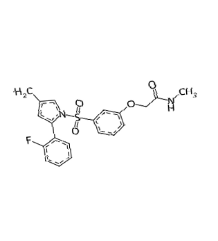 [CH2]c1cc(-c2ccccc2F)n(S(=O)(=O)c2cccc(OCC(=O)NC)c2)c1